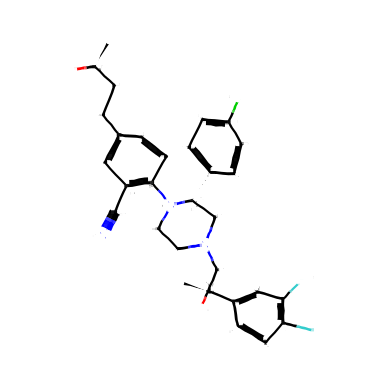 C[C@H](O)CCc1ccc(N2CCN(C[C@@](C)(O)c3ccc(F)c(F)c3)C[C@H]2c2ccc(Cl)cc2)c(C#N)c1